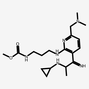 COC(=O)NCCCNc1nc(CN(C)C)ccc1C(=N)C(C)NC1CC1